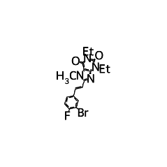 CCn1c(=O)c2c(nc(C=Cc3ccc(F)c(Br)c3)n2C)n(CC)c1=O